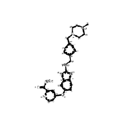 CNC(=O)c1cc(Oc2ccc3nc(NCc4ccc(CN5CCN(C)CC5)cc4)sc3c2)ccn1